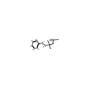 CNCC(C)(C)SSc1ccccn1